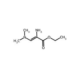 CCOC(=O)C(N)=CN(C)C